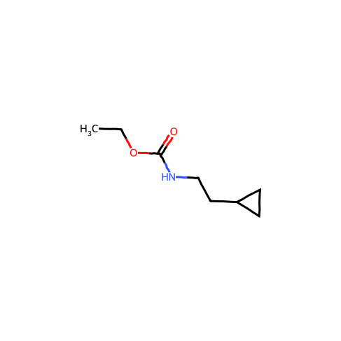 CCOC(=O)NCCC1CC1